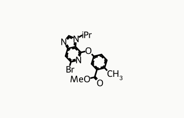 COC(=O)c1cc(Oc2nc(Br)cc3ncn(C(C)C)c23)ccc1C